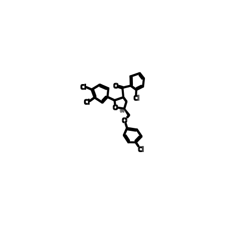 O=C(c1ccccc1Cl)C1C[C@@H](COc2ccc(Cl)cc2)OC1c1ccc(Cl)c(Cl)c1